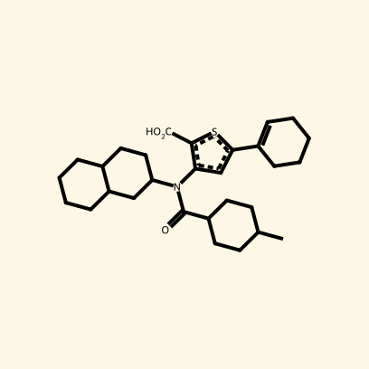 CC1CCC(C(=O)N(c2cc(C3=CCCCC3)sc2C(=O)O)C2CCC3CCCCC3C2)CC1